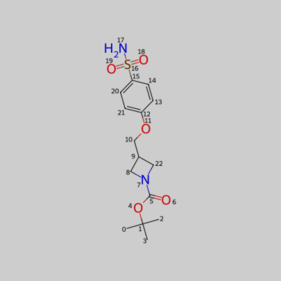 CC(C)(C)OC(=O)N1CC(COc2ccc(S(N)(=O)=O)cc2)C1